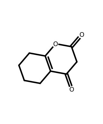 O=C1CC(=O)C2=C(CCCC2)O1